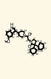 COc1ccc2[nH]cc(C3=CCN(C(=O)CN4CCC(c5ccccc5)(c5ccccc5)C4=O)CC3)c2c1